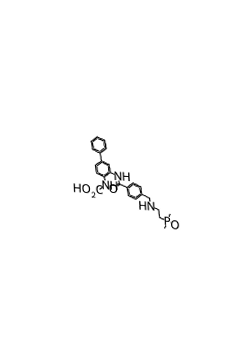 CP(C)(=O)CCNCc1ccc(C(=O)Nc2cc(-c3ccccc3)ccc2NC(=O)O)cc1